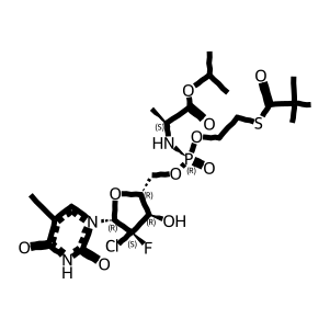 Cc1cn([C@@H]2O[C@H](CO[P@](=O)(N[C@@H](C)C(=O)OC(C)C)OCCSC(=O)C(C)(C)C)[C@@H](O)[C@]2(F)Cl)c(=O)[nH]c1=O